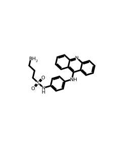 BCCCS(=O)(=O)Nc1ccc(Nc2c3ccccc3nc3ccccc23)cc1